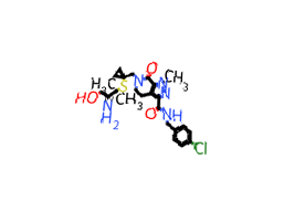 Cn1nc(C(=O)NCc2ccc(Cl)cc2)c2c1C(=O)N(CC1(SC(C)(C)[C@H](N)CO)CC1)CC2